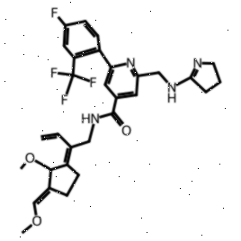 C=C/C(CNC(=O)c1cc(CNC2=NCCC2)nc(-c2ccc(F)cc2C(F)(F)F)c1)=C1/CC/C(=C\OC)C1OC